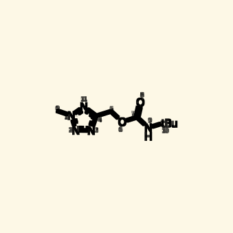 Cn1nnc(COC(=O)NC(C)(C)C)n1